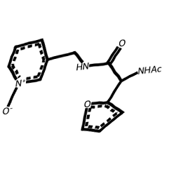 CC(=O)NC(C(=O)NCc1ccc[n+]([O-])c1)c1ccco1